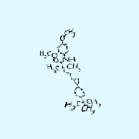 COc1ccc(NC(=O)C(C)(C)CCCOc2ccc(C(C)(C)C)cc2)c(OC)c1